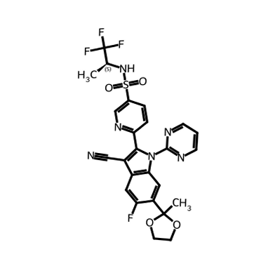 C[C@H](NS(=O)(=O)c1ccc(-c2c(C#N)c3cc(F)c(C4(C)OCCO4)cc3n2-c2ncccn2)nc1)C(F)(F)F